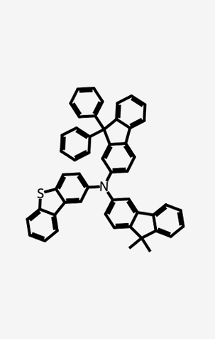 CC1(C)c2ccccc2-c2cc(N(c3ccc4c(c3)C(c3ccccc3)(c3ccccc3)c3ccccc3-4)c3ccc4sc5ccccc5c4c3)ccc21